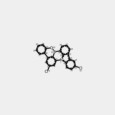 Clc1cc2c3c(c1)-n1c4ccc(Cl)cc4c4cccc(c41)B3Oc1ccccc1-2